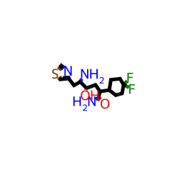 NC(=O)C(CC(O)C(N)Cc1cscn1)C1CCC(F)(F)CC1